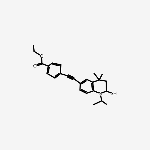 CCOC(=O)c1ccc(C#Cc2ccc3c(c2)C(C)(C)CC(S)N3C(C)C)cc1